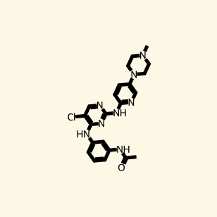 CC(=O)Nc1cccc(Nc2nc(Nc3ccc(N4CCN(C)CC4)cn3)ncc2Cl)c1